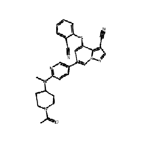 CC(=O)N1CCC(N(C)c2ccc(-c3cc(Sc4ccccc4C#N)c4c(C#N)cnn4c3)cn2)CC1